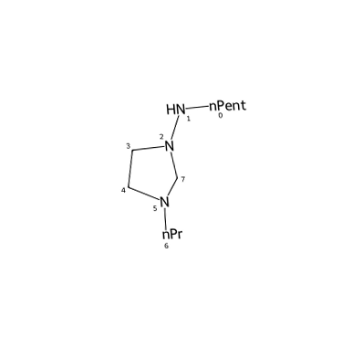 CCCCCNN1CCN(CCC)C1